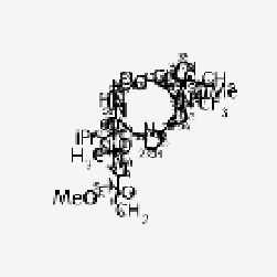 C=CC(=O)N(CCOC)[C@H]1CCN(C(=O)N(C)[C@H](C(=O)N[C@H]2Cc3cccc(n3)-c3ccc4c(c3)c(c(-c3cccnc3[C@H](C)OC)n4CC(F)(F)F)CC(C)(C)COC(=O)[C@@H]3CCCN(N3)C2=O)C(C)C)C1